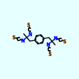 CC(Cc1ccc(CC(C)(N=C=S)N=C=S)cc1)(N=C=S)N=C=S